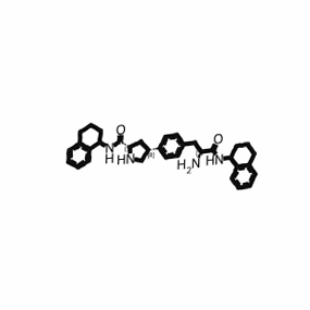 N[C@@H](Cc1ccc([C@@H]2CN[C@H](C(=O)NC3CCCc4ccccc43)C2)cc1)C(=O)NC1CCCc2ccccc21